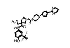 NCC1(C(=O)Nc2ccc(O)c(C(F)(F)F)c2)CCN(CC(=O)N2CCN(c3ccc(-c4ncccn4)cc3)CC2)C1